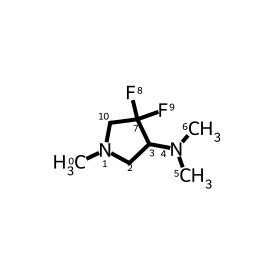 CN1CC(N(C)C)C(F)(F)C1